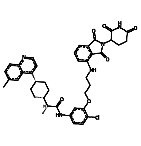 Cc1ccc2nccc([C@H]3CC[C@@H]([C@@H](C)C(=O)Nc4ccc(Cl)c(OCCCNc5cccc6c5C(=O)N(C5CCC(=O)NC5=O)C6=O)c4)CC3)c2c1